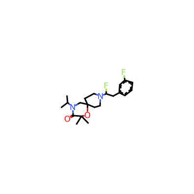 CC(C)N1CC2(CCN(C(F)Cc3cccc(F)c3)CC2)OC(C)(C)C1=O